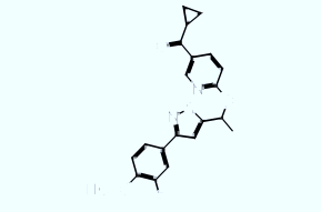 CC(Oc1ccc(C(=O)C2CC2)cn1)c1cc(-c2ccc(C(=O)O)c(F)c2)ns1